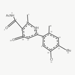 CC(=O)NC(=O)c1c(C)[nH]c(-c2cc(Cl)c(C(C)(C)C)cc2C)cc1=O